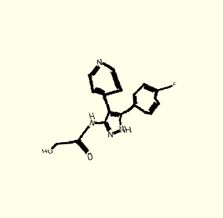 O=C(CO)Nc1n[nH]c(-c2ccc(F)cc2)c1-c1ccncc1